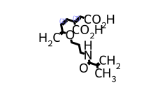 C=C(/C=C\C(=C\C(=O)O)C(=O)O)OCCCNC(=O)C(=C)C